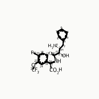 N[C@H](Cc1ccccc1)[C@H](O)C(=O)N[C@@H](C(=O)O)c1ccc(F)c(OC(F)(F)F)c1